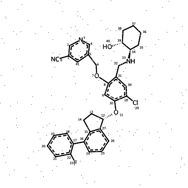 N#Cc1cncc(COc2cc(O[C@H]3CCc4c(-c5ccccc5F)cccc43)c(Cl)cc2CN[C@@H]2CCCC[C@H]2O)c1